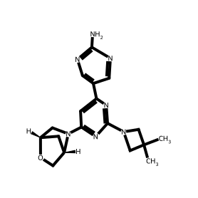 CC1(C)CN(c2nc(-c3cnc(N)nc3)cc(N3C[C@@H]4C[C@H]3CO4)n2)C1